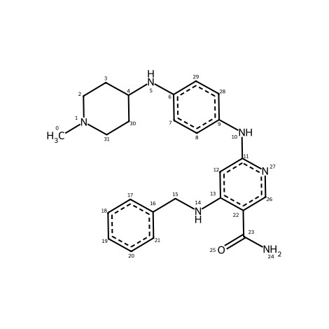 CN1CCC(Nc2ccc(Nc3cc(NCc4ccccc4)c(C(N)=O)cn3)cc2)CC1